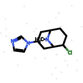 CN1C2CCC(Cl)C1CC(n1ccnc1)C2